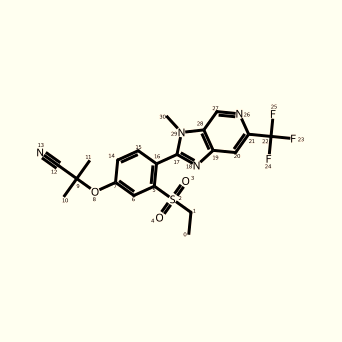 CCS(=O)(=O)c1cc(OC(C)(C)C#N)ccc1-c1nc2cc(C(F)(F)F)ncc2n1C